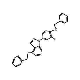 Fc1cc(-n2ncc3c(CCc4ccccc4)cccc32)ccc1OCc1ccccc1